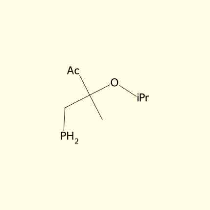 CC(=O)C(C)(CP)OC(C)C